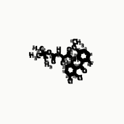 COc1ccc(F)c(C(=O)c2c(NC(=O)C(C)NC(=O)OC(C)(C)C)ccc(Cl)c2Cl)c1